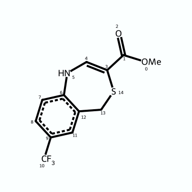 COC(=O)C1=CNc2ccc(C(F)(F)F)cc2CS1